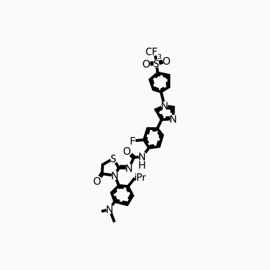 CC(C)c1ccc(N(C)C)cc1N1C(=O)CS/C1=N\C(=O)Nc1ccc(-c2cn(-c3ccc(S(=O)(=O)C(F)(F)F)cc3)cn2)cc1F